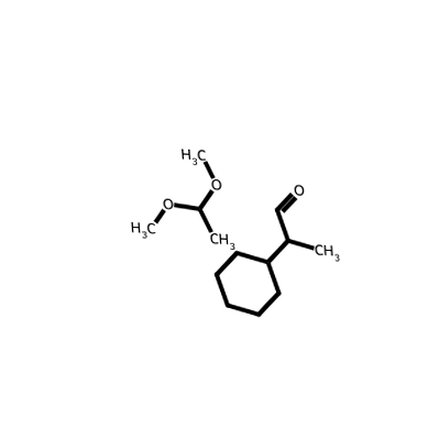 CC(C=O)C1CCCCC1.COC(C)OC